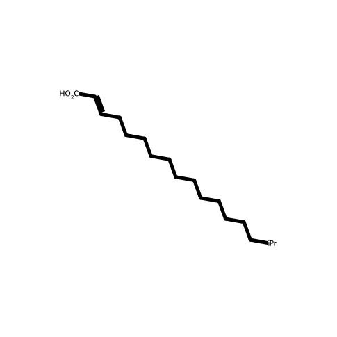 CC(C)CCCCCCCCCCCC/C=C/C(=O)O